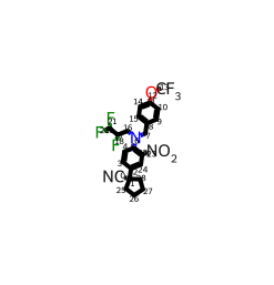 N#CC1(c2ccc(N(Cc3ccc(OC(F)(F)F)cc3)CC(F)C(F)F)c([N+](=O)[O-])c2)CCCC1